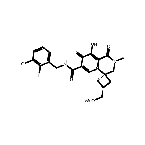 COC[C@H]1C[C@]2(CN(C)C(=O)c3c(O)c(=O)c(C(=O)NCc4cccc(Cl)c4F)cn32)C1